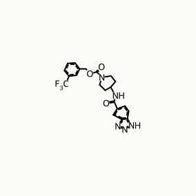 O=C(NC1CCN(C(=O)OCc2cccc(C(F)(F)F)c2)CC1)c1ccc2[nH]nnc2c1